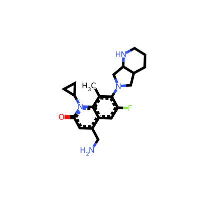 Cc1c(N2CC3CCCNC3C2)c(F)cc2c(CN)cc(=O)n(C3CC3)c12